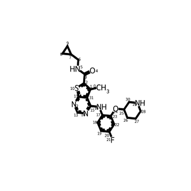 Cc1c(C(=O)NCC2CC2)sc2ncnc(Nc3ccc(F)cc3OC3CCCNC3)c12